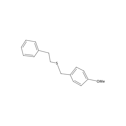 COc1ccc(CSCCc2ccccc2)cc1